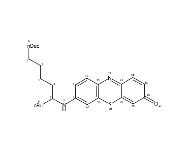 CCCCCCCCCCCCCCC(CCCC)Nc1ccc2nc3ccc(=O)cc-3sc2c1